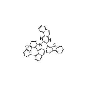 c1ccc2c(c1)ccc1nc(-c3cccc4c3sc3ccccc34)c(-n3c4ccc5cccc6c5c4c4c5c(ccc43)oc3cccc-6c35)nc12